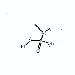 CCOP(=O)(O)[N+](C)C